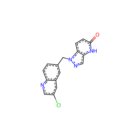 O=c1ccc2c(cnn2Cc2ccc3ncc(Cl)cc3c2)[nH]1